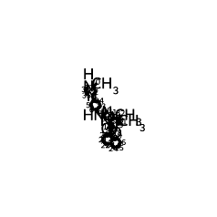 CC1CN(c2ccc(Nc3ncc4c(n3)N(S(=O)(=O)c3cccc5ccccc35)CC4(C)C)cc2)CCN1